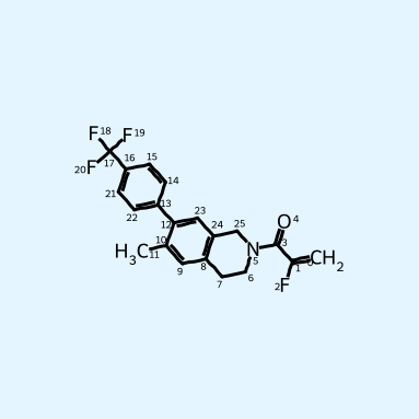 C=C(F)C(=O)N1CCc2cc(C)c(-c3ccc(C(F)(F)F)cc3)cc2C1